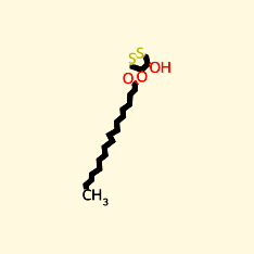 CCCCCCCCCCCCCCCCCC(=O)OC1CSSCC1O